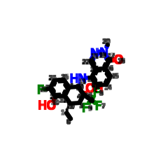 CC[C@H]1C[C@@](O)(C(F)(F)F)[C@@H](Nc2cccc3c(=O)n(C)ncc23)c2ccc(F)c(O)c21